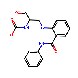 O=CC(CNc1ccccc1C(=O)Nc1ccccc1)NC(=O)O